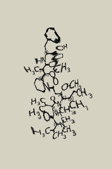 CC[C@H](C)[C@@H]([C@@H](CC(=O)N1CCCC[C@H]1[C@H](OC)[C@@H](C)C(=O)N[C@@H](Cc1ccccc1)C(=O)O)OC)N(C)C(=O)[C@@H](NC(=O)[C@H](C(C)C)N(C)C)C(C)C